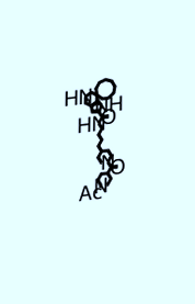 CC(=O)N1CCC(C(=O)N2CCC(CCCCNC(=O)c3cc4c([nH]3)C3(CCCCCCCC3)CNC4)CC2)CC1